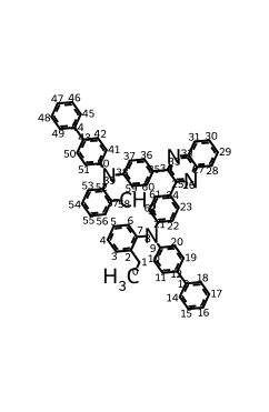 CCc1ccccc1N(c1ccc(-c2ccccc2)cc1)c1ccc(-c2nc3ccccc3nc2-c2ccc(N(c3ccc(-c4ccccc4)cc3)c3ccccc3C)cc2)cc1